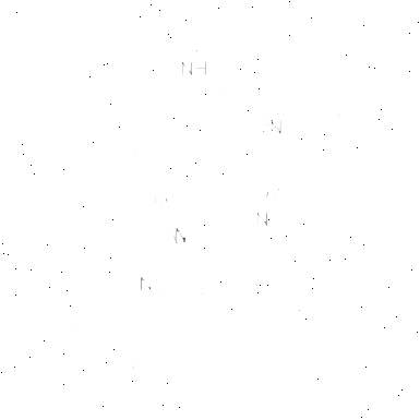 O=C(C1CCCc2ccccc21)N1C2CCC1CN(c1ncnc3[nH]ccc13)C2